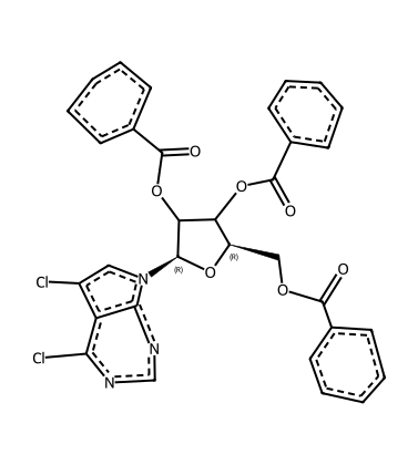 O=C(OC[C@H]1O[C@@H](n2cc(Cl)c3c(Cl)ncnc32)C(OC(=O)c2ccccc2)C1OC(=O)c1ccccc1)c1ccccc1